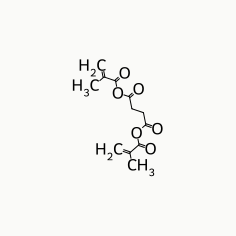 C=C(C)C(=O)OC(=O)CCC(=O)OC(=O)C(=C)C